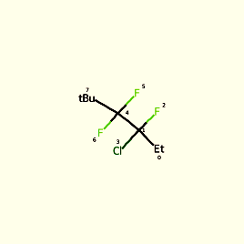 CCC(F)(Cl)C(F)(F)C(C)(C)C